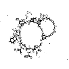 CSCC[C@@H]1NC(=O)[C@@H]2CCCN2C(=O)[C@@H]2CSCc3cc(cc(c3)OCCCCCCO/N=C/C(=O)N[C@@H](C)C(=O)N2)CSC[C@@H](C(N)=O)NC(=O)[C@H](CCC(=O)O)NC(=O)[C@H](CCC(N)=O)NC(=O)[C@H](Cc2c[nH]c3ccccc23)NC(=O)[C@H](C(C)C)NC(=O)[C@H](CC(=O)O)NC1=O